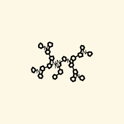 c1ccc(-c2cccc(-c3cc(-c4cccc(-n5c6ccc(-c7ccc8c(c7)c7ccccc7n8-c7ccccc7)cc6c6cc(-c7ccc8c(c7)c7ccccc7n8-c7ccccc7)ccc65)c4)nc(-n4c5ccc(-c6ccc7c(c6)c6ccccc6n7-c6ccccc6)cc5c5cc(-c6ccc7c(c6)c6ccccc6n7-c6ccccc6)ccc54)n3)c2)cc1